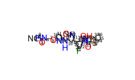 C=C(C#N)C(=O)NCCOc1cccc(Nc2cc(-c3cc(F)cc(-n4ncc5c6c(sc5c4=O)CCCC6)c3CO)cn(C)c2=O)n1